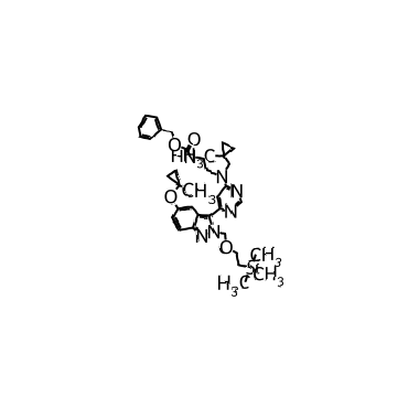 CC1(CN(CCNC(=O)OCc2ccccc2)c2cc(-c3c4cc(OC5(C)CC5)ccc4nn3COCC[Si](C)(C)C)ncn2)CC1